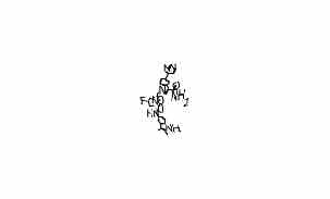 Cc1[nH]c2ccc(NC(=O)[C@@H]3C[C@@H](F)CN3C(=O)Cn3cc(C(N)=O)c4cc(-c5ccnnc5)ccc43)cc2c1C